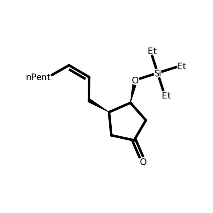 CCCCC/C=C\C[C@@H]1CC(=O)C[C@@H]1O[Si](CC)(CC)CC